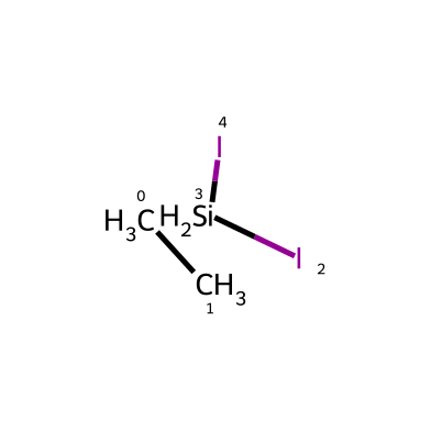 CC.I[SiH2]I